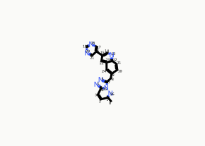 Cc1ccc2nnc(Cc3ccc4ncc(-c5cncnc5)cc4c3)n2n1